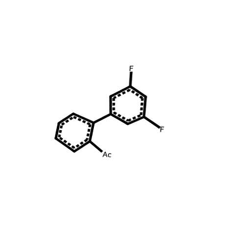 CC(=O)c1ccccc1-c1cc(F)cc(F)c1